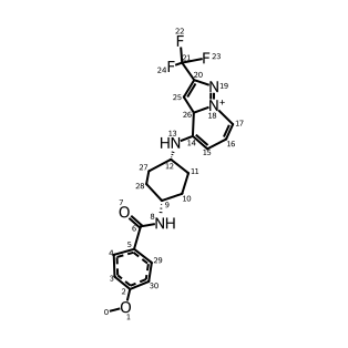 COc1ccc(C(=O)N[C@H]2CC[C@@H](NC3=CC=C[N+]4=NC(C(F)(F)F)=CC34)CC2)cc1